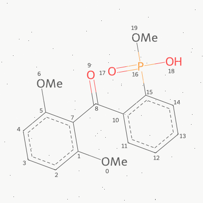 COc1cccc(OC)c1C(=O)c1ccccc1P(=O)(O)OC